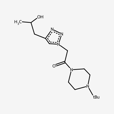 CC(O)Cc1cn(CC(=O)N2CCN(C(C)(C)C)CC2)nn1